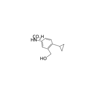 O=C(O)Nc1ccc(C2CC2)c(CO)c1